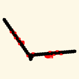 C=Cc1cc(OCCCCCCCCCCC(=O)OCCOCCOCCOCCOCCCCCCCCCCCC)cc(OCCCCCCCCCCC(CCOCCOCCOCCOCCCCCCCCCCCC)OO)c1